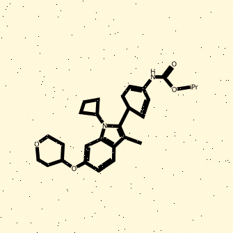 Cc1c(C2C=CC(NC(=O)OC(C)C)=CC2)n(C2CCC2)c2cc(OC3CCOCC3)ccc12